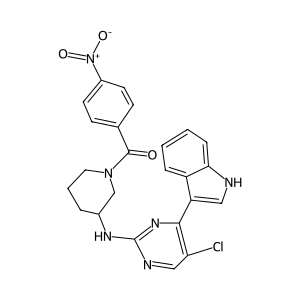 O=C(c1ccc([N+](=O)[O-])cc1)N1CCCC(Nc2ncc(Cl)c(-c3c[nH]c4ccccc34)n2)C1